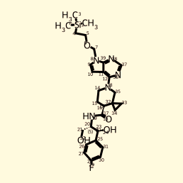 C[Si](C)(C)CCOCn1ccc2c(N3CC[C@H](C(=O)N[C@@H](CO)[C@@H](O)c4ccc(F)cc4)C4(CC4)C3)ncnc21